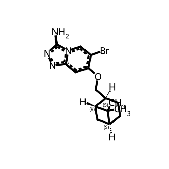 CC1(C)[C@H]2CC[C@H](COc3cc4nnc(N)n4cc3Br)[C@H]1C2